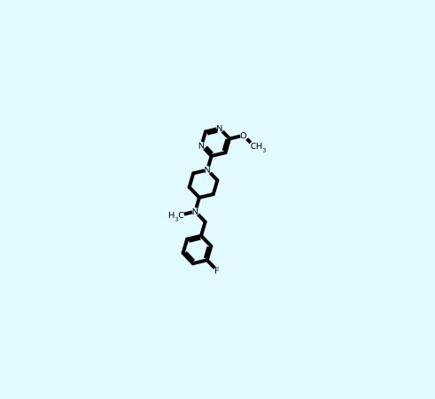 COc1cc(N2CCC(N(C)Cc3cccc(F)c3)CC2)ncn1